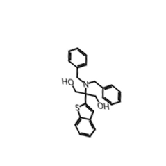 OCC(CO)(c1cc2ccccc2s1)N(Cc1ccccc1)Cc1ccccc1